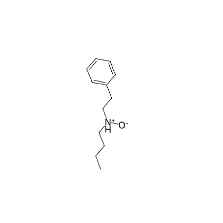 CCCC[NH+]([O-])CCc1ccccc1